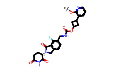 O=C1CC[C@H](N2Cc3ccc(CNC(=O)OC4CC(c5cccnc5OC(F)(F)F)C4)c(F)c3C2=O)C(=O)N1